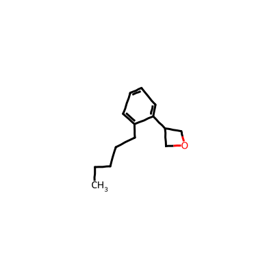 CCCCCc1ccccc1C1COC1